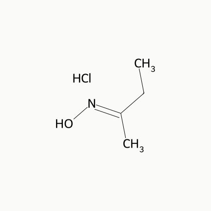 CCC(C)=NO.Cl